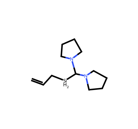 C=CC[SiH2]C(N1CCCC1)N1CCCC1